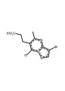 CCOC(=O)CCc1c(C)nc2c(Br)cnn2c1Cl